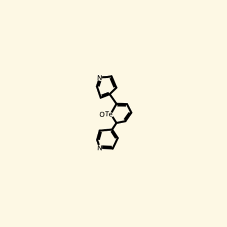 O=[Te]1C(c2ccncc2)=CC=CC1c1ccncc1